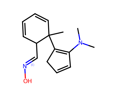 CN(C)C1=C(C2(C)C=CC=CC2/C=N/O)CC=C1